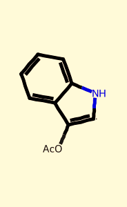 CC(=O)Oc1[c][nH]c2ccccc12